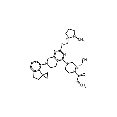 C=CC(=O)N1CCN(c2nc(OC[C@@H]3CCCN3C)nc3c2CCN(c2cccc4c2C2(CC4)CC2)C3)C[C@@H]1CC#N